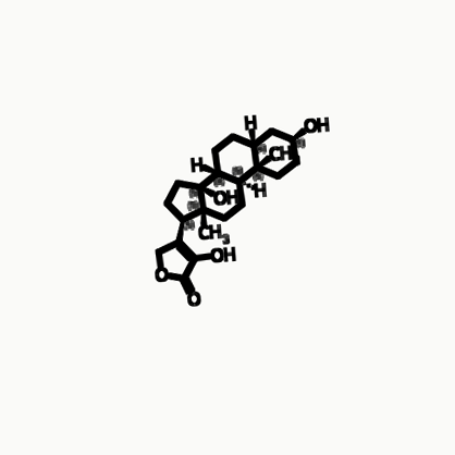 C[C@]12CC[C@H](O)C[C@H]1CC[C@@H]1[C@@H]2CC[C@]2(C)[C@@H](C3=C(O)C(=O)OC3)CC[C@]12O